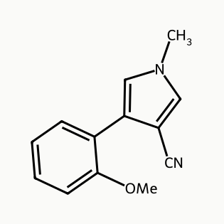 COc1ccccc1-c1cn(C)cc1C#N